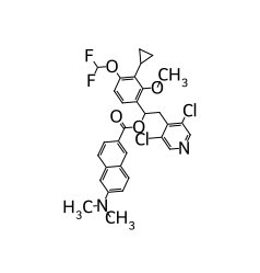 COc1c(C(Cc2c(Cl)cncc2Cl)OC(=O)c2ccc3cc(N(C)C)ccc3c2)ccc(OC(F)F)c1C1CC1